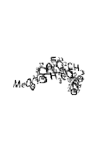 COC(=O)CC1COc2cc(O[C@@H]3CCc4c(-c5c(C)cc(C(=O)N6CCOCC6)cc5C)ccc(F)c43)ccc21